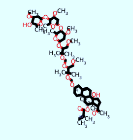 C/C=C(\C)C(=O)O[C@@H]1CC2C(CC=C3C[C@@H](OCOC(C)(C)C(COC)OCOC(C)(C)C(COC)OC4CC(OC)C(OC5CC(OC)C(OC6CC(OC)C(O)C(C)O6)C(C)O5)C(C)O4)CCC32C)[C@@]2(O)CCC(C(C)=O)[C@@]12C